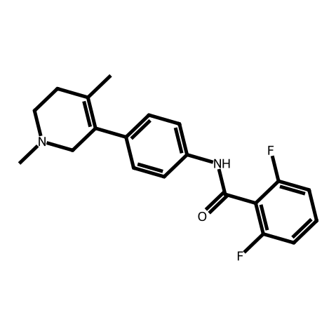 CC1=C(c2ccc(NC(=O)c3c(F)cccc3F)cc2)CN(C)CC1